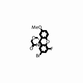 COc1ccc2c(c1)[C@@]1(COCC(=O)N1)c1cc(Br)cc(F)c1O2